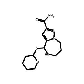 NC(=O)c1cc2n(n1)CCCNC2OC1CCCCO1